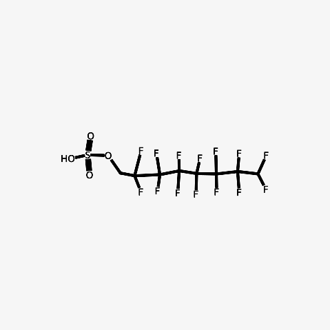 O=S(=O)(O)OCC(F)(F)C(F)(F)C(F)(F)C(F)(F)C(F)(F)C(F)(F)C(F)F